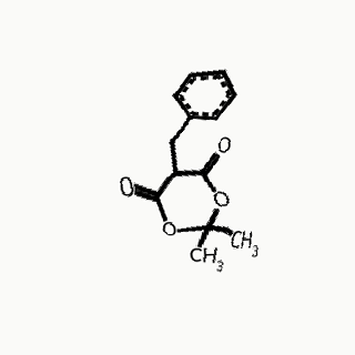 CC1(C)OC(=O)C(Cc2ccccc2)C(=O)O1